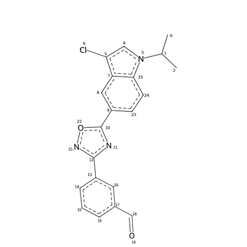 CC(C)n1cc(Cl)c2cc(-c3nc(-c4cccc(C=O)c4)no3)ccc21